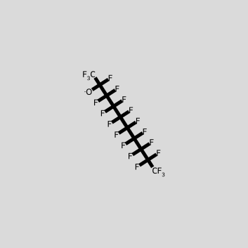 [O]C(F)(C(F)(F)F)C(F)(F)C(F)(F)C(F)(F)C(F)(F)C(F)(F)C(F)(F)C(F)(F)C(F)(F)F